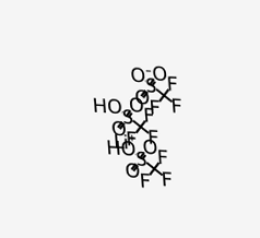 O=S(=O)(O)C(F)(F)F.O=S(=O)(O)C(F)(F)F.O=S(=O)([O-])C(F)(F)F.[Li+]